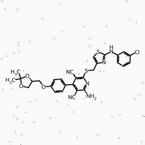 CC1(C)OCC(COc2ccc(-c3c(C#N)c(N)nc(SCc4csc(Nc5cccc(Cl)c5)n4)c3C#N)cc2)O1